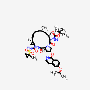 CC(C)Oc1ccc2c(O[C@@H]3C[C@H]4C(=O)N[C@]5(C(=O)NS(=O)(=O)C6(C)CC6)C[C@H]5/C=C\CC[C@H](C)C[C@@H](C)[C@H](NC(=O)OC(C)(C)C)C(=O)N4C3)nccc2c1